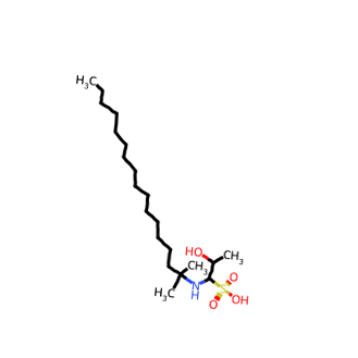 CCCCCCCCCCCCCCCC(C)(C)NC(C(C)O)S(=O)(=O)O